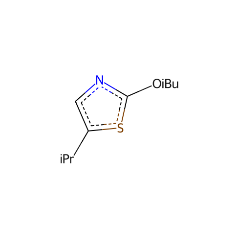 CC(C)COc1ncc(C(C)C)s1